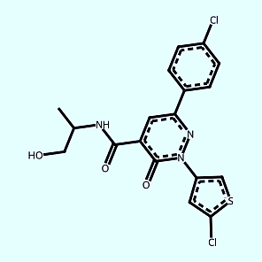 CC(CO)NC(=O)c1cc(-c2ccc(Cl)cc2)nn(-c2csc(Cl)c2)c1=O